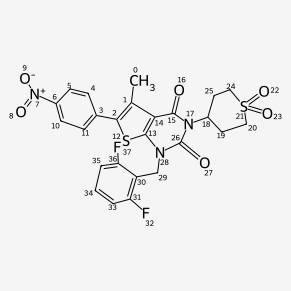 Cc1c(-c2ccc([N+](=O)[O-])cc2)sc2c1c(=O)n(C1CCS(=O)(=O)CC1)c(=O)n2Cc1c(F)cccc1F